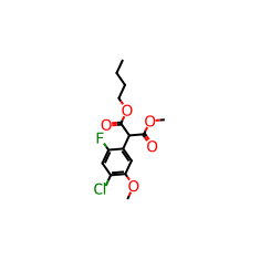 CCCCOC(=O)C(C(=O)OC)c1cc(OC)c(Cl)cc1F